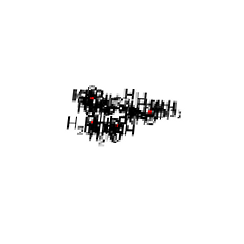 NC(=O)C(NS(=O)(=O)c1cccc(Nc2nc(Nc3cccc(S(=O)(=O)NC(C(N)=O)C(N)=O)c3)nc(Nc3ccc(-c4ccc(Nc5nc(Nc6cccc(S(=O)(=O)NC(C(N)=O)C(N)=O)c6)nc(Nc6cccc(S(=O)(=O)NC(C(N)=O)C(N)=O)c6)n5)cc4C(=O)O)c(C(=O)O)c3)n2)c1)C(N)=O